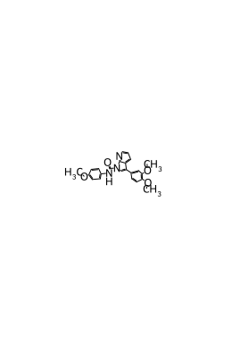 COc1ccc(NC(=O)n2cc(-c3ccc(OC)c(OC)c3)c3cccnc32)cc1